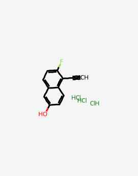 C#Cc1c(F)ccc2cc(O)ccc12.Cl.Cl.Cl